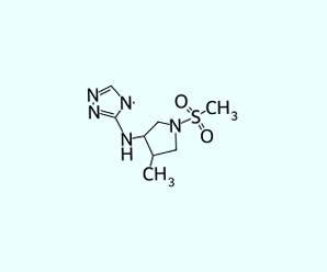 CC1CN(S(C)(=O)=O)CC1NC1=NN=C[N]1